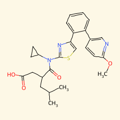 COc1ccc(-c2ccccc2-c2csc(N(C(=O)C(CC(=O)O)CC(C)C)C3CC3)n2)cn1